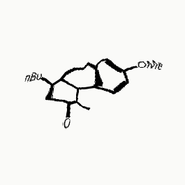 CCCCC1CC(=O)C(C)C2c3ccc(OC)cc3CCC12